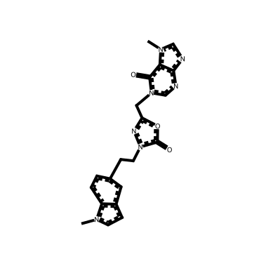 Cn1ccc2cc(CCn3nc(Cn4cnc5ncn(C)c5c4=O)oc3=O)ccc21